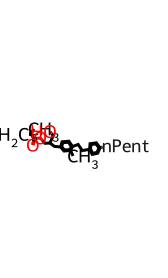 C=C(C)C(=O)OCC(CO)Cc1ccc(CCc2ccc(CCCCC)cc2)c(C)c1